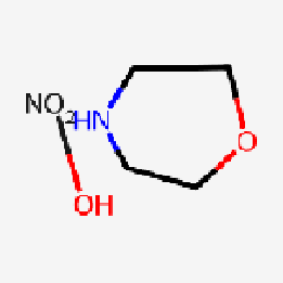 C1COCCN1.O=[N+]([O-])O